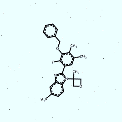 Cc1cc(-c2nc3cc(N)ccc3n2C2(C)COC2)c(F)c(OCc2ccccc2)c1C